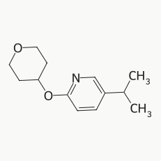 CC(C)c1ccc(OC2CCOCC2)nc1